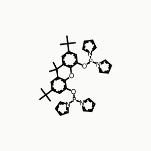 CC(C)(C)c1cc(OP(n2cccc2)n2cccc2)c2c(c1)C(C)(C)c1cc(C(C)(C)C)cc(OP(n3cccc3)n3cccc3)c1O2